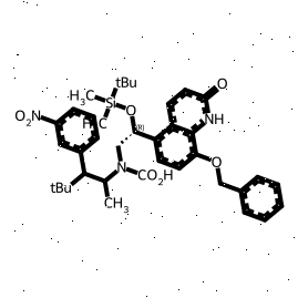 CC(C(c1cccc([N+](=O)[O-])c1)C(C)(C)C)N(C[C@H](O[Si](C)(C)C(C)(C)C)c1ccc(OCc2ccccc2)c2[nH]c(=O)ccc12)C(=O)O